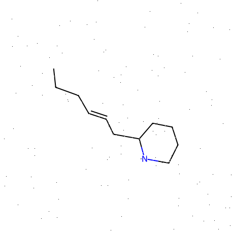 CCC/C=C/CC1CCCC[N]1